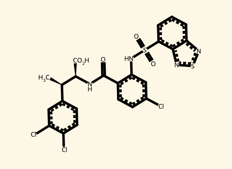 C[C@H](c1ccc(Cl)c(Cl)c1)[C@H](NC(=O)c1ccc(Cl)cc1NS(=O)(=O)c1cccc2nsnc12)C(=O)O